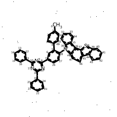 Cc1ccc(-c2cc(-c3nc(-c4ccccc4)nc(-c4ccccc4)n3)ccc2-n2c3ccccc3c3c4sc5ccccc5c4ccc32)cc1